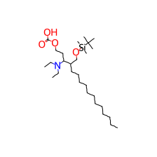 CCCCCCCCCCCCC(CO[Si](C)(C)C(C)(C)C)C(CCOC(=O)O)N(CC)CC